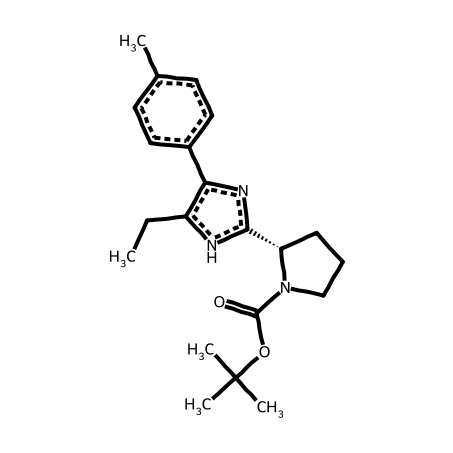 CCc1[nH]c([C@@H]2CCCN2C(=O)OC(C)(C)C)nc1-c1ccc(C)cc1